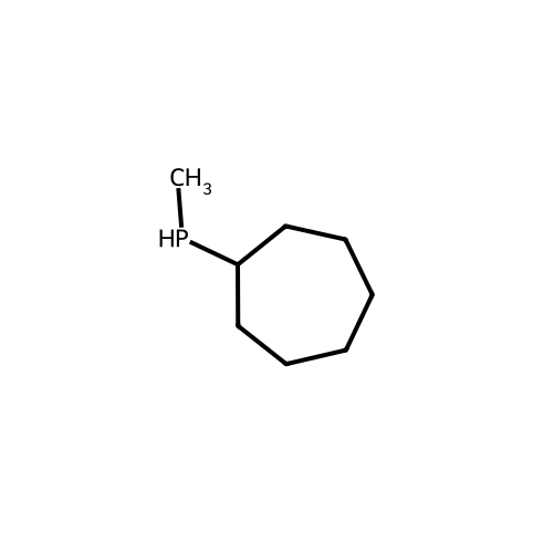 CPC1CCCCCC1